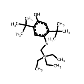 CC[Si](CC)(CC)CSc1cc(C(C)(C)C)c(O)cc1C(C)(C)C